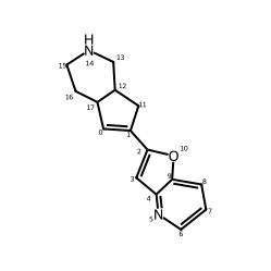 C1=C(c2cc3ncccc3o2)CC2CNCCC12